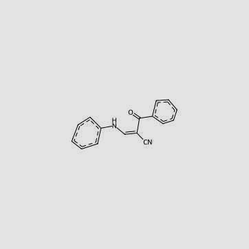 N#CC(=CNc1ccccc1)C(=O)c1ccccc1